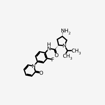 CC(C)N1C[C@@H](N)C[C@H]1C(=O)Nc1ccc(-n2ccccc2=O)cc1F